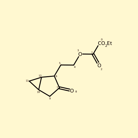 CCOC(=O)C(=O)OCCC1C(=O)CC2CC21